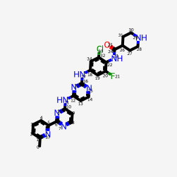 Cc1cccc(-c2nccc(Nc3ccnc(Nc4cc(F)c(NC(=O)C5CCNCC5)c(Cl)c4)n3)n2)n1